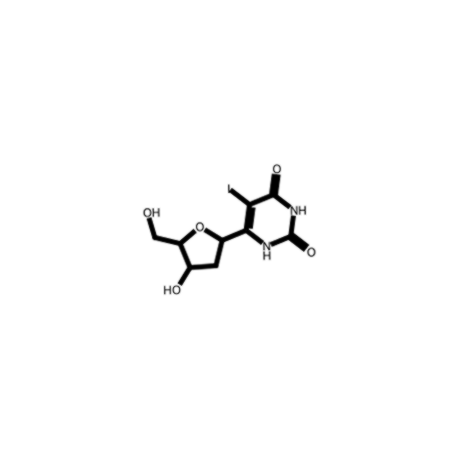 O=c1[nH]c(C2CC(O)C(CO)O2)c(I)c(=O)[nH]1